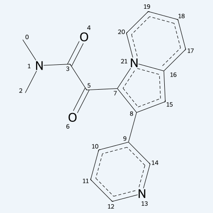 CN(C)C(=O)C(=O)c1c(-c2cccnc2)cc2ccccn12